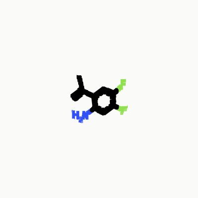 C=C(C)c1cc(F)c(F)cc1N